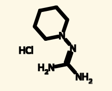 Cl.NC(N)=NN1CCCCC1